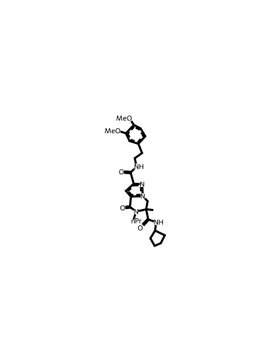 CCCN1C(=O)c2cc(C(=O)NCCc3ccc(OC)c(OC)c3)nn2CC1(C)C(=O)NC1CCCC1